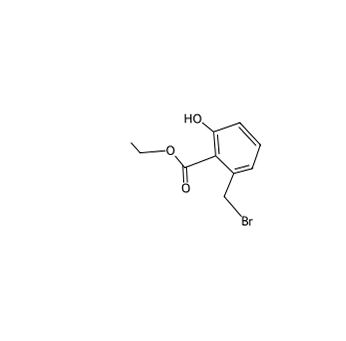 CCOC(=O)c1c(O)cccc1CBr